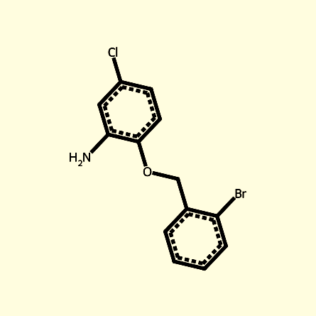 Nc1cc(Cl)ccc1OCc1ccccc1Br